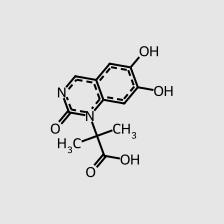 CC(C)(C(=O)O)n1c(=O)ncc2cc(O)c(O)cc21